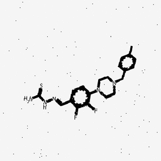 Cc1ccc(CN2CCN(c3ccc(C=NNC(N)=S)c(F)c3F)CC2)cc1